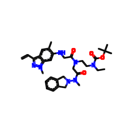 C=Cc1nn(C)c2cc(NCC(=O)N(CCN(CC)C(=O)OC(C)(C)C)CC(=O)N(C)N3Cc4ccccc4C3)c(C)cc12